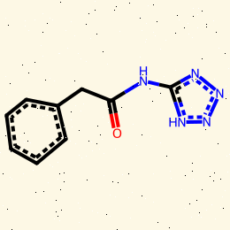 O=C(Cc1ccccc1)Nc1nnn[nH]1